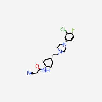 N#CCC(=O)N[C@H]1CC[C@H](CCN2CCN(c3ccc(F)c(Cl)c3)CC2)CC1